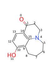 O=C1CCN2CCCCc3c(O)ccc1c32